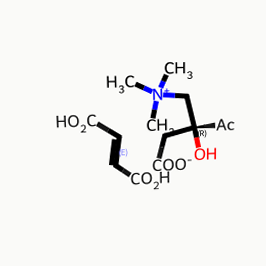 CC(=O)[C@@](O)(CC(=O)[O-])C[N+](C)(C)C.O=C(O)/C=C/C(=O)O